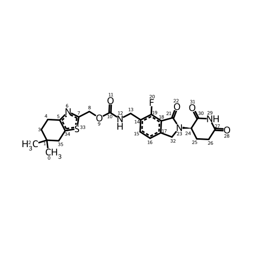 CC1(C)CCc2nc(COC(=O)NCc3ccc4c(c3F)C(=O)N([C@@H]3CCC(=O)NC3=O)C4)sc2C1